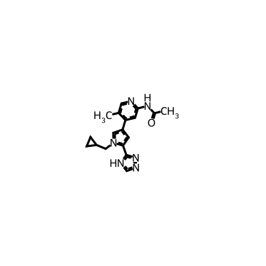 CC(=O)Nc1cc(-c2cc(-c3nnc[nH]3)n(CC3CC3)c2)c(C)cn1